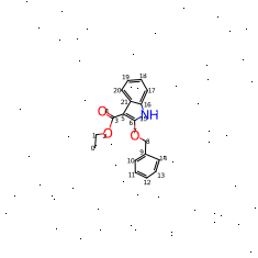 CCOC(=O)c1c(OCc2ccccc2)[nH]c2ccccc12